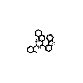 CC1=C(C(=N/N)/N=C(\c2ccc3c(c2)C=CCC3)c2cccc3oc4ccccc4c23)C=CCC1